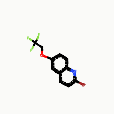 FC(F)(F)COc1ccc2nc(Br)ccc2c1